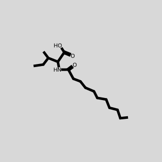 CCCCCCCCCCC(=O)NC(C(=O)O)C(C)CC